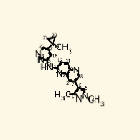 Cc1nn(C)cc1-c1cnc2ccc(Nc3cc(C4(C)CC4)cnn3)nc2c1